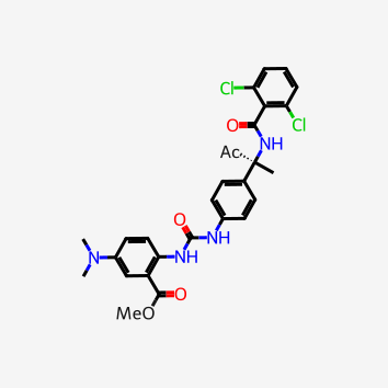 COC(=O)c1cc(N(C)C)ccc1NC(=O)Nc1ccc([C@](C)(NC(=O)c2c(Cl)cccc2Cl)C(C)=O)cc1